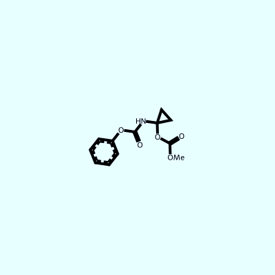 COC(=O)OC1(NC(=O)Oc2ccccc2)CC1